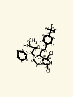 CNC(=O)[C@@H](c1ccccc1)N1CCn2c(Cl)nc(Cl)c2C1CCc1ccc(C(F)(F)F)cc1